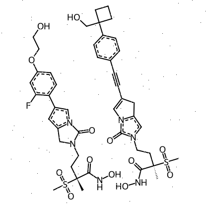 C[C@@](CCN1Cc2cc(-c3ccc(OCCO)cc3F)cn2C1=O)(C(=O)NO)S(C)(=O)=O.C[C@@](CCn1cc2n(c1=O)C=C(C#Cc1ccc(C3(CO)CCC3)cc1)C2)(C(=O)NO)S(C)(=O)=O